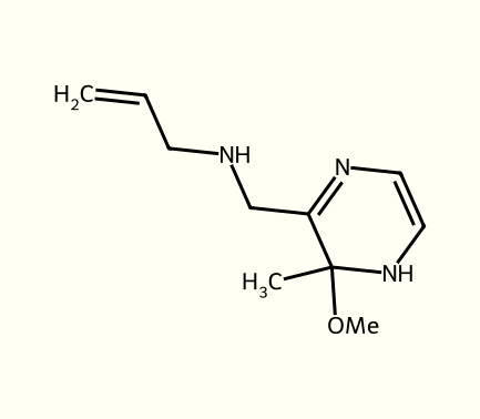 C=CCNCC1=NC=CNC1(C)OC